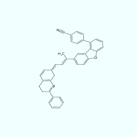 C/C(=C\C=C1\C=CC2=C(B=C(c3ccccc3)CC2)C1)c1ccc2oc3cccc(-c4ccc(C#N)cc4)c3c2c1